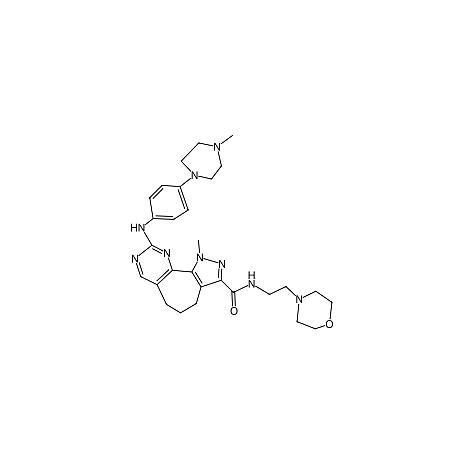 CN1CCN(c2ccc(Nc3ncc4c(n3)-c3c(c(C(=O)NCCN5CCOCC5)nn3C)CCC4)cc2)CC1